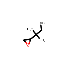 CC(C)(C)CC(C)(C)C1CO1